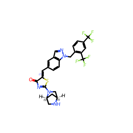 O=C1N=C(N2C[C@@H]3C[C@H]2CN3)S/C1=C\c1ccc2c(cnn2Cc2ccc(C(F)(F)F)cc2C(F)(F)F)c1